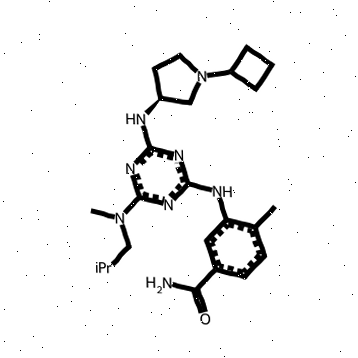 Cc1ccc(C(N)=O)cc1Nc1nc(N[C@H]2CCN(C3CCC3)C2)nc(N(C)CC(C)C)n1